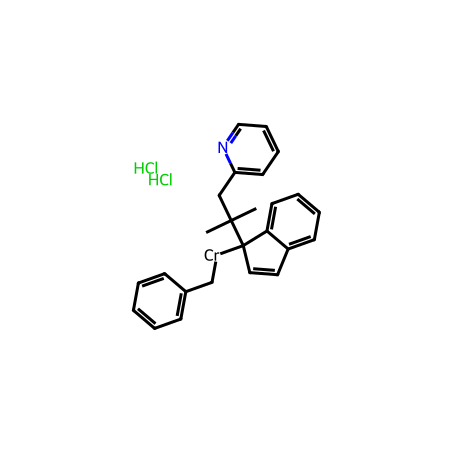 CC(C)(Cc1ccccn1)[C]1([Cr][CH2]c2ccccc2)C=Cc2ccccc21.Cl.Cl